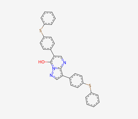 Oc1c(-c2ccc(Sc3ccccc3)cc2)cnc2c(-c3ccc(Sc4ccccc4)cc3)cnn12